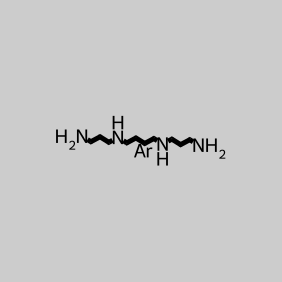 NCCCNCCCCNCCCN.[Ar]